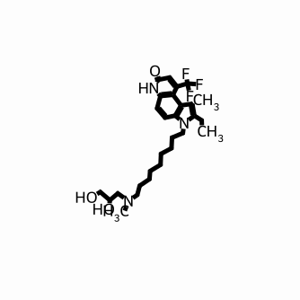 CCc1c(C)c2c3c(C(F)(F)F)cc(=O)[nH]c3ccc2n1CCCCCCCCCN(C)CC(O)CO